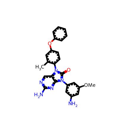 COc1cc(N)cc(-n2c(=O)n(-c3ccc(Oc4ccccc4)cc3C)c3cnc(N)nc32)c1